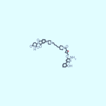 Nc1nnc(-c2ccccc2O)cc1OCC12CC(C(=O)N3CCC(CCCCN4CCN(c5ccc6c(c5)C(=O)N(C5CCC(=O)NC5=O)C6=O)CC4)CC3)(C1)C2